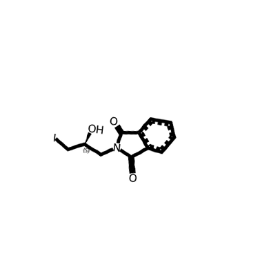 O=C1c2ccccc2C(=O)N1C[C@H](O)CI